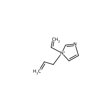 C=CC[N+]1(C=C)C=CN=C1